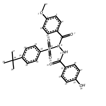 COc1ccc(C(=O)N(NC(=O)c2ccc(O)cc2)S(=O)(=O)c2ccc(C(C)(C)C)cc2)cc1